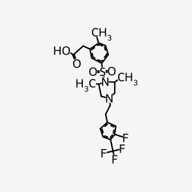 Cc1ccc(S(=O)(=O)N2C(C)CN(CCc3ccc(C(F)(F)F)c(F)c3)CC2C)cc1CC(=O)O